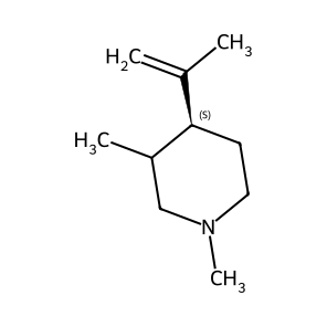 C=C(C)[C@H]1CCN(C)CC1C